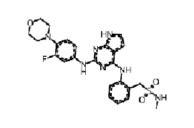 CNS(=O)(=O)Cc1ccccc1Nc1nc(Nc2ccc(N3CCOCC3)c(F)c2)nc2[nH]ccc12